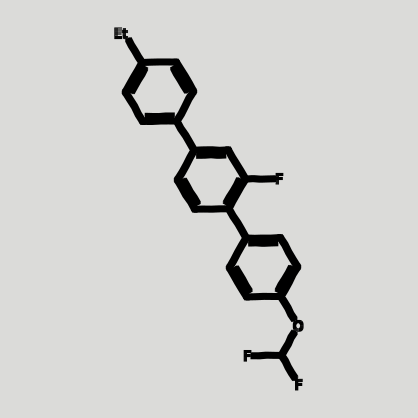 CCc1ccc(-c2ccc(-c3ccc(OC(F)F)cc3)c(F)c2)cc1